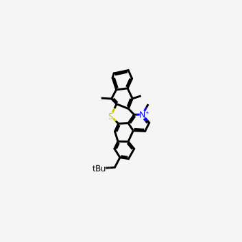 Cc1c2c(c(C)c3ccccc13)-c1c3c(cc4cc(CC(C)(C)C)ccc4c3cc[n+]1C)S2